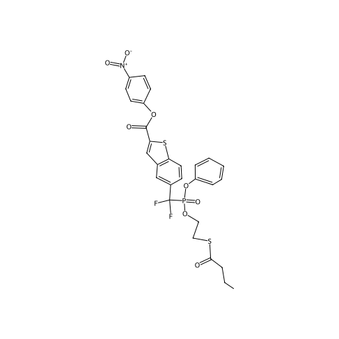 CCCC(=O)SCCOP(=O)(Oc1ccccc1)C(F)(F)c1ccc2sc(C(=O)Oc3ccc([N+](=O)[O-])cc3)cc2c1